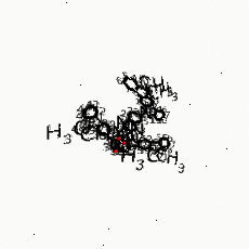 CC1(C)c2ccccc2-c2cc3c(cc21)c1ccccc1n3-c1ccc2nc(-n3c4ccccc4c4cc5c(cc43)-c3ccccc3C5(C)C)c(-n3c4ccccc4c4cc5c(cc43)-c3ccccc3C5(C)C)nc2c1